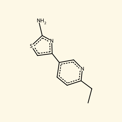 CCc1ccc(-c2csc(N)n2)cn1